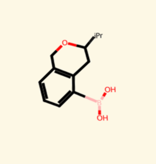 CC(C)C1Cc2c(cccc2B(O)O)CO1